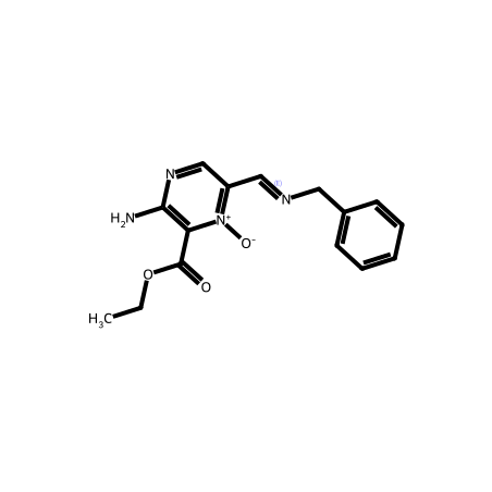 CCOC(=O)c1c(N)ncc(/C=N/Cc2ccccc2)[n+]1[O-]